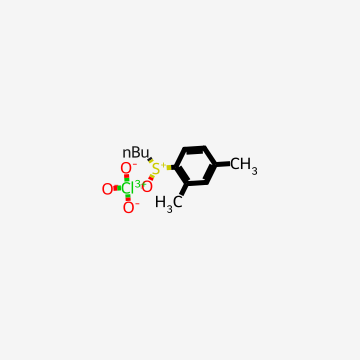 CCCC[S+](O[Cl+3]([O-])([O-])[O-])c1ccc(C)cc1C